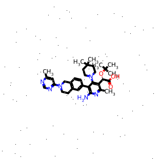 Cc1cc(N2CCc3cc(-c4c(N)nc(C)c([C@H](OC(C)(C)C)C(=O)O)c4N4CCC(C)(C)CC4)ccc3C2)ncn1